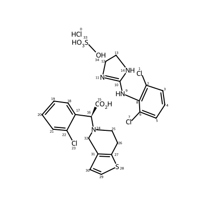 Cl.Clc1cccc(Cl)c1NC1=NCCN1.O=C(O)[C@H](c1ccccc1Cl)N1CCc2sccc2C1.O=S(=O)(O)O